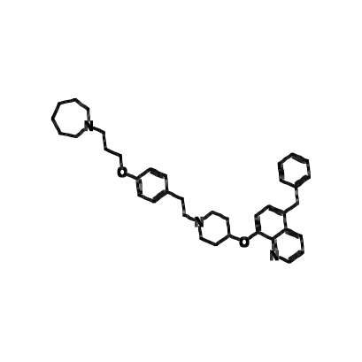 c1ccc(Cc2ccc(OC3CCN(CCc4ccc(OCCCN5CCCCCC5)cc4)CC3)c3ncccc23)cc1